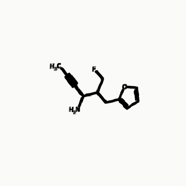 CC#CC(N)C(CF)Cc1ccco1